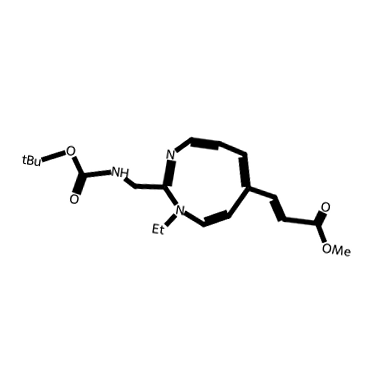 CCn1ccc(/C=C/C(=O)OC)cccnc1CNC(=O)OC(C)(C)C